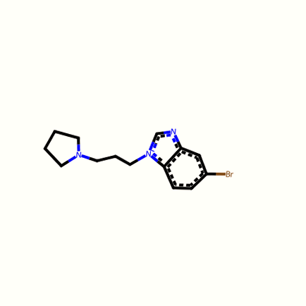 Brc1ccc2c(c1)ncn2CCCN1CCCC1